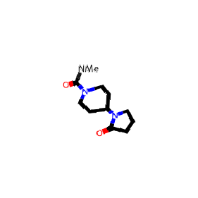 CNC(=O)N1CCC(N2CCCC2=O)CC1